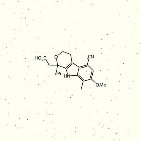 CCCC1(CC(=O)O)OCCc2c1[nH]c1c(C)c(OC)cc(C#N)c21